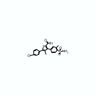 CCC(=O)c1sc(-c2ccc(Cl)cc2)c(C)c1-c1ccc(S(N)(=O)=O)c(C)c1